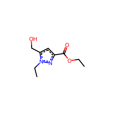 CCOC(=O)c1cc(CO)n(CC)n1